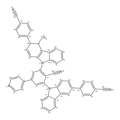 CC1c2c(n(-c3cc(-c4ccncc4)cc(-n4c5ccccc5c5cc(-c6ccc(C#N)cc6)ccc54)c3C#N)c3ccccc23)C=CC1c1ccc(C#N)cc1